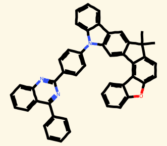 CC1(C)c2cc3c4ccccc4n(-c4ccc(-c5nc(-c6ccccc6)c6ccccc6n5)cc4)c3cc2-c2c1ccc1oc3ccccc3c21